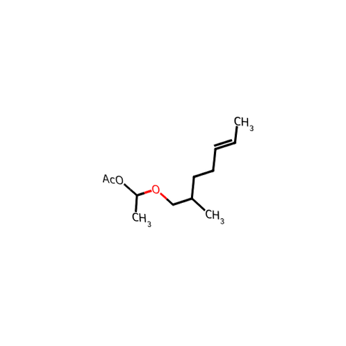 CC=CCCC(C)COC(C)OC(C)=O